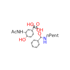 CC(=O)Nc1cc([As](=O)(O)O)ccc1O.CCCCCNC(=O)c1ccccc1